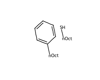 CCCCCCCCS.CCCCCCCCc1ccccc1